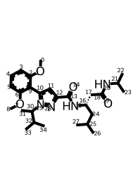 COc1cccc(OC)c1-c1cc(C(=O)N[C@H](CC(=O)NC(C)C)CC(C)C)nn1C(C)C(C)C